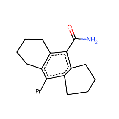 CC(C)c1c2c(c(C(N)=O)c3c1CCCC3)CCCC2